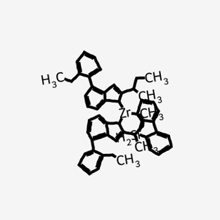 CCc1ccccc1-c1cccc2c1C=C(C(C)CC)[CH]2[Zr]([c]1cccc2c1[SiH2]c1ccccc1-2)[CH]1C(C(C)CC)=Cc2c(-c3ccccc3CC)cccc21